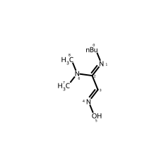 CCCCN=C(C=NO)N(C)C